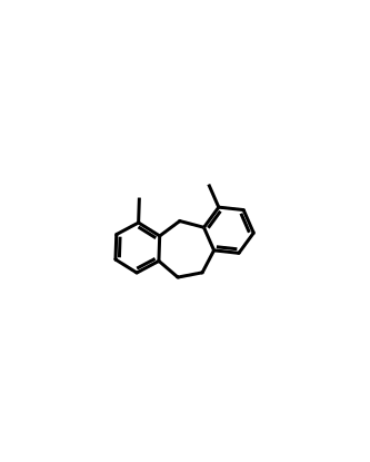 Cc1cccc2c1Cc1c(C)cccc1CC2